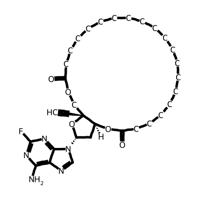 C#C[C@@]12COC(=O)CCCCCCCCCCCCCCCCCCC(=O)O[C@H]1C[C@H](n1cnc3c(N)nc(F)nc31)O2